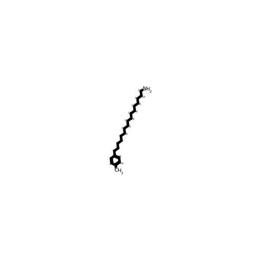 Cc1ccc(CCCCCCCCCCCCCCCCCN)cc1